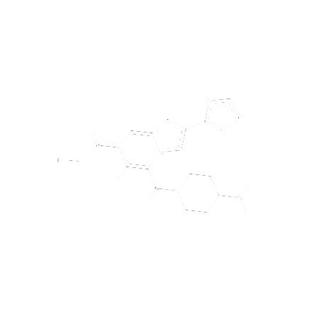 C=C(c1c(C)c(C(=O)OC(C)C)cc2cc(-c3ncc[nH]3)cn12)N1CCC(N(C)C)CC1